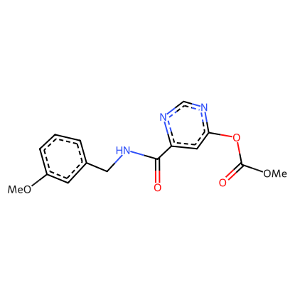 COC(=O)Oc1cc(C(=O)NCc2cccc(OC)c2)ncn1